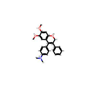 COc1cc2c(cc1OC)C(c1ccc(N(C)C)cc1)=C(c1ccccc1)CO2